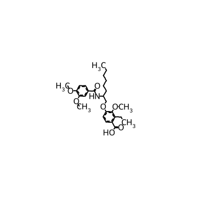 CCCCCCC(COc1ccc(C(=O)O)c(CC)c1OC)NC(=O)c1ccc(OC)c(OC)c1